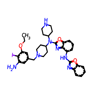 CCOc1cc(CN2CCC(N(c3nc4c(Nc5nc6ccccc6o5)cccc4o3)C3CCNCC3)CC2)cc(N)c1I